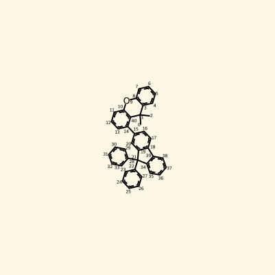 CC1(C)c2ccccc2Oc2cccc(-c3ccc4c(c3)C(c3ccccc3)(c3ccccc3)c3ccccc3-4)c21